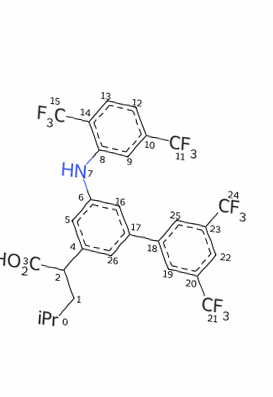 CC(C)CC(C(=O)O)c1cc(Nc2cc(C(F)(F)F)ccc2C(F)(F)F)cc(-c2cc(C(F)(F)F)cc(C(F)(F)F)c2)c1